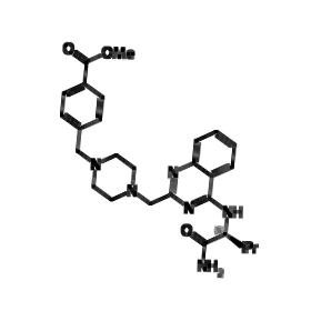 COC(=O)c1ccc(CN2CCN(Cc3nc(N[C@H](C(N)=O)C(C)C)c4ccccc4n3)CC2)cc1